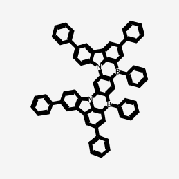 c1ccc(B2c3cc4c(cc3-n3c5ccc(-c6ccccc6)cc5c5cc(-c6ccccc6)cc2c53)-n2c3ccc(-c5ccccc5)cc3c3cc(-c5ccccc5)cc(c32)B4c2ccccc2)cc1